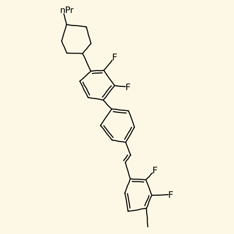 CCCC1CCC(c2ccc(-c3ccc(/C=C/c4ccc(C)c(F)c4F)cc3)c(F)c2F)CC1